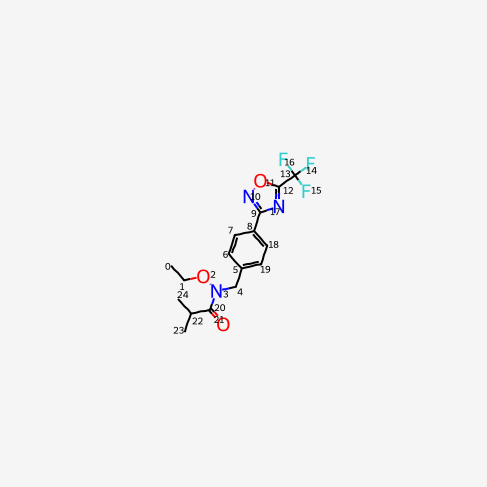 CCON(Cc1ccc(-c2noc(C(F)(F)F)n2)cc1)C(=O)C(C)C